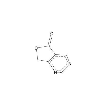 O=C1OCc2ncncc21